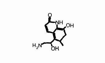 CC1CC(O)=c2[nH]c(=O)ccc2=C1[C@@H](O)CN